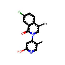 Cc1cnc(O)cc1-n1cc(C(C)C)c2ccc(F)cc2c1=O